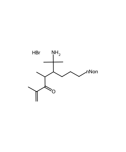 Br.C=C(C)C(=O)C(C)C(CCCCCCCCCCCC)C(C)(C)N